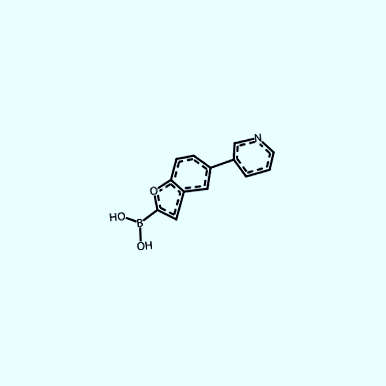 OB(O)c1cc2cc(-c3cccnc3)ccc2o1